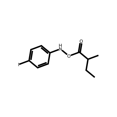 CCC(C)C(=O)ONc1ccc(I)cc1